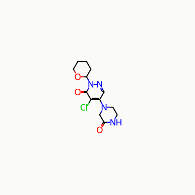 O=C1CN(c2cnn(C3CCCCO3)c(=O)c2Cl)CCN1